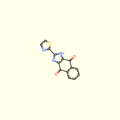 O=C1c2ccccc2C(=O)c2[nH]c(-c3nccs3)nc21